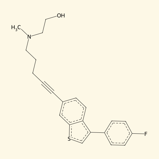 CN(CCO)CCCC#Cc1ccc2c(-c3ccc(F)cc3)csc2c1